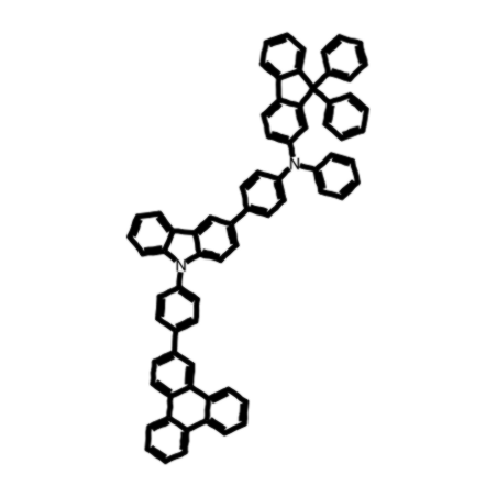 c1ccc(N(c2ccc(-c3ccc4c(c3)c3ccccc3n4-c3ccc(-c4ccc5c6ccccc6c6ccccc6c5c4)cc3)cc2)c2ccc3c(c2)C(c2ccccc2)(c2ccccc2)c2ccccc2-3)cc1